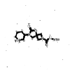 CC(C)(C)OC(=O)N1CC2(C1)CN(C1CCCNC1)C(=O)O2